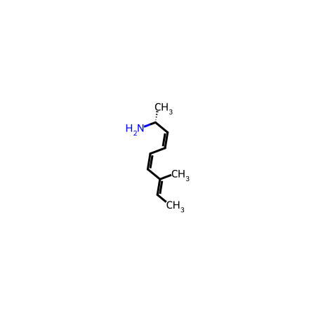 C/C=C(C)/C=C\C=C/[C@@H](C)N